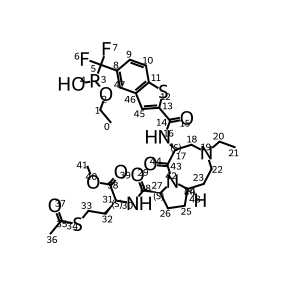 CCOP(O)C(F)(F)c1ccc2sc(C(=O)N[C@H]3CN(CC)CC[C@H]4CC[C@@H](C(=O)N[C@@H](CCSC(C)=O)C(=O)OC)N4C3=O)cc2c1